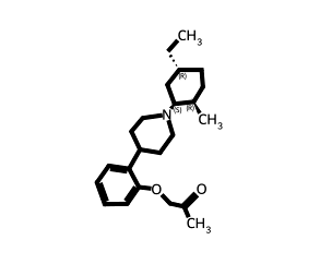 CC[C@@H]1CC[C@@H](C)[C@@H](N2CCC(c3ccccc3OCC(C)=O)CC2)C1